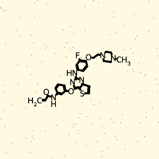 C=CC(=O)Nc1cccc(Oc2nc(Nc3ccc(OCCN4CCN(C)CC4)c(F)c3)nc3ccsc23)c1